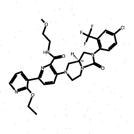 CCOc1ncccc1-c1ccc(N2CCN3C(=O)N(c4ccc(Cl)cc4C(F)(F)F)C[C@@H]3C2)c(C(=O)NCCOC)n1